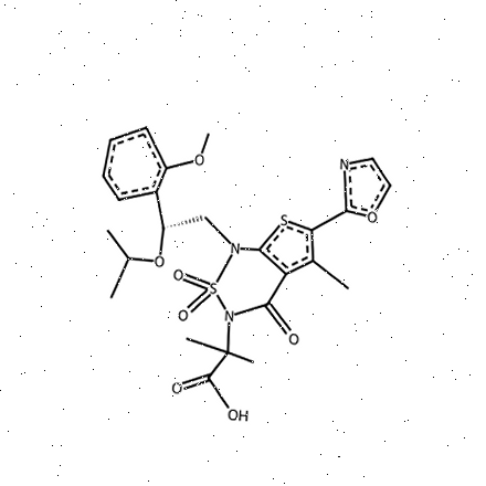 COc1ccccc1[C@H](CN1c2sc(-c3ncco3)c(C)c2C(=O)N(C(C)(C)C(=O)O)S1(=O)=O)OC(C)C